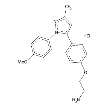 COc1ccc(-n2nc(C(F)(F)F)cc2-c2ccc(OCCN)cc2)cc1.Cl